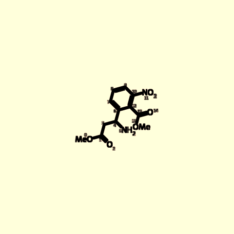 COC(=O)CC(N)c1cccc([N+](=O)[O-])c1C(=O)OC